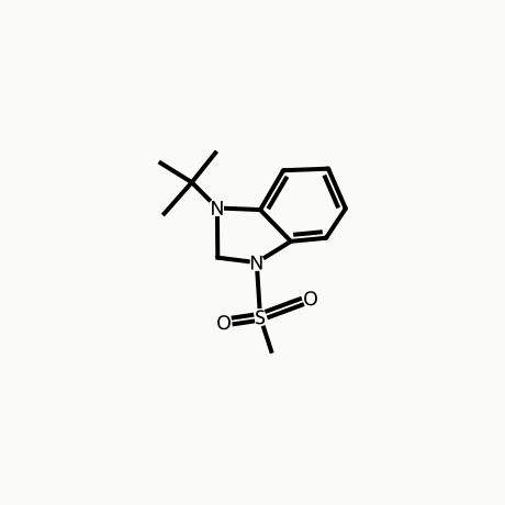 CC(C)(C)N1CN(S(C)(=O)=O)c2ccccc21